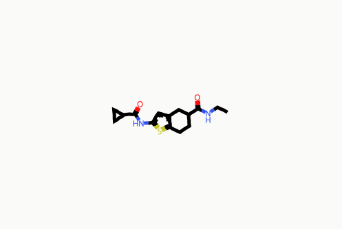 CCNC(=O)C1CCc2sc(NC(=O)C3CC3)cc2C1